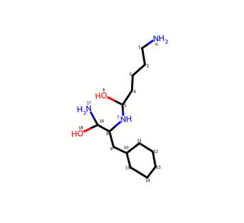 NCCCCC(O)NC(CC1CCCCC1)C(N)O